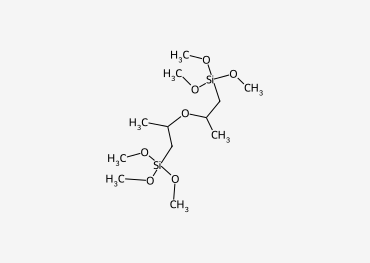 CO[Si](CC(C)OC(C)C[Si](OC)(OC)OC)(OC)OC